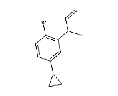 [CH2]C(C=C)c1cc(C2CC2)ccc1Br